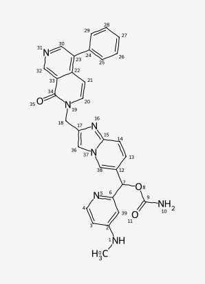 CNc1ccnc(C(OC(N)=O)c2ccc3nc(Cn4ccc5c(-c6ccccc6)cncc5c4=O)cn3c2)c1